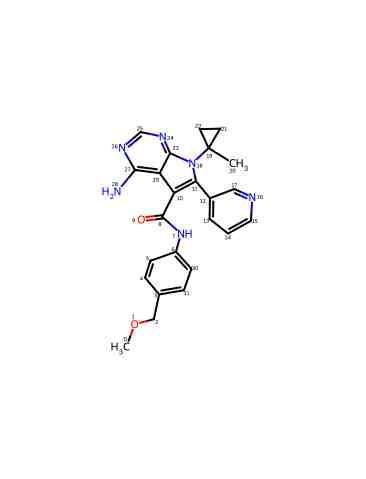 COCc1ccc(NC(=O)c2c(-c3cccnc3)n(C3(C)CC3)c3ncnc(N)c23)cc1